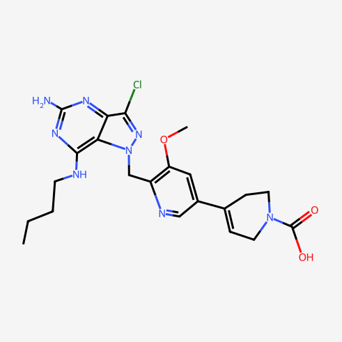 CCCCNc1nc(N)nc2c(Cl)nn(Cc3ncc(C4=CCN(C(=O)O)CC4)cc3OC)c12